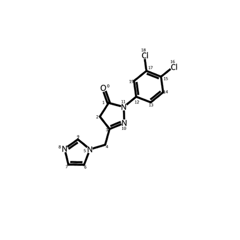 O=C1CC(Cn2ccnc2)=NN1c1ccc(Cl)c(Cl)c1